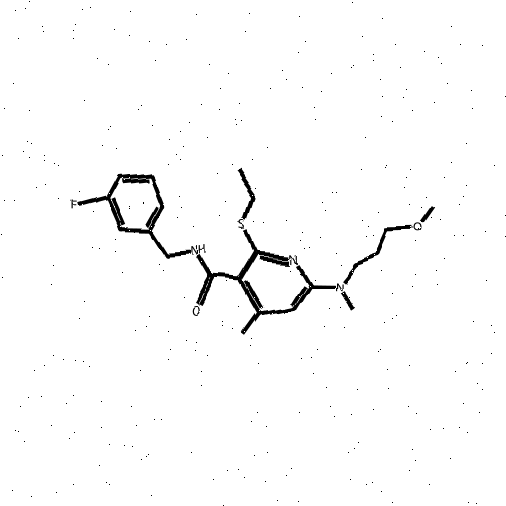 CCSc1nc(N(C)CCCOC)cc(C)c1C(=O)NCc1cccc(F)c1